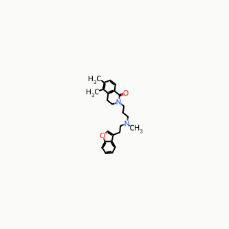 Cc1ccc2c(c1C)CCN(CCCN(C)CCc1coc3ccccc13)C2=O